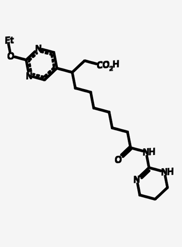 CCOc1ncc(C(CCCCCCC(=O)NC2=NCCCN2)CC(=O)O)cn1